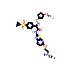 CNCCOc1ccc2nc(NC(=O)/C(=N/O[C@@H]3CC[C@@H](OC)C3)c3ccc(S(=O)(=O)C4CC4)cc3)sc2n1